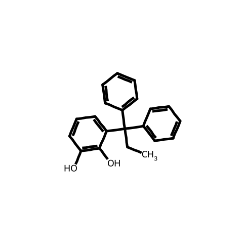 CCC(c1ccccc1)(c1ccccc1)c1cccc(O)c1O